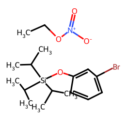 CC(C)[Si](Oc1[c]ccc(Br)c1)(C(C)C)C(C)C.CCO[N+](=O)[O-]